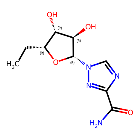 CC[C@H]1O[C@@H](n2cnc(C(N)=O)n2)[C@H](O)[C@H]1O